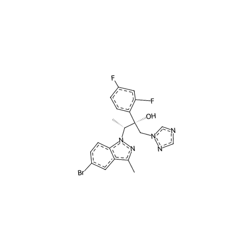 Cc1nn([C@H](C)[C@](O)(Cn2cncn2)c2ccc(F)cc2F)c2ccc(Br)cc12